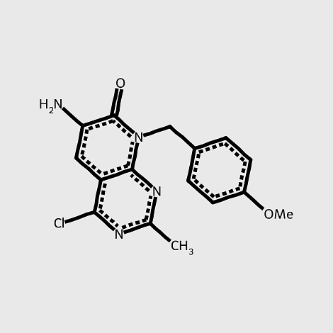 COc1ccc(Cn2c(=O)c(N)cc3c(Cl)nc(C)nc32)cc1